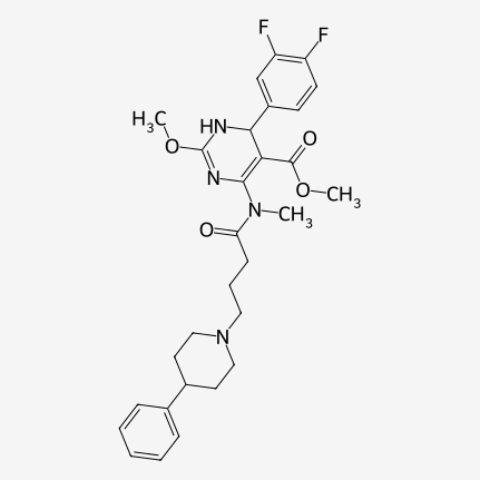 COC(=O)C1=C(N(C)C(=O)CCCN2CCC(c3ccccc3)CC2)N=C(OC)NC1c1ccc(F)c(F)c1